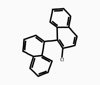 Clc1ccc2ccccc2c1-c1cccc2ccccc12